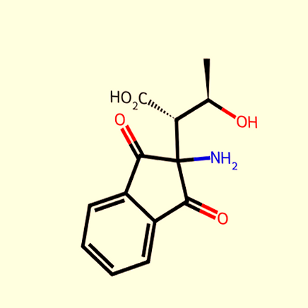 C[C@@H](O)[C@@H](C(=O)O)C1(N)C(=O)c2ccccc2C1=O